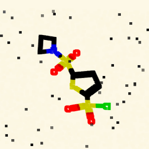 O=S(=O)(Cl)c1ccc(S(=O)(=O)N2CCC2)s1